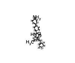 CCC[C@H](NC(=O)c1ccc(-c2ccc(N)cc2)cc1)C(=O)NCc1ccccc1